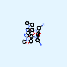 N#Cc1ccc2c(c1)c1ccccc1n2-c1cccc2c1Oc1c(-n3c4ccccc4c4cc(C#N)ccc43)cccc1C21c2cc(N3c4ccccc4Oc4ccccc43)cnc2-c2ncc(-n3c4ccccc4c4ccccc43)cc21